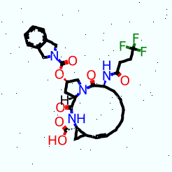 O=C(CCC(F)(F)F)N[C@H]1CCCCC/C=C\C2C[C@@]2(C(=O)O)NC(=O)[C@@H]2C[C@@H](OC(=O)N3Cc4ccccc4C3)CN2C1=O